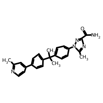 Cc1cc(-c2ccc(C(C)(C)c3ccc(-n4nc(C(N)=O)nc4C)cc3)cc2)ccn1